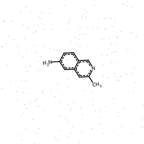 Cc1cc2cc(N)ccc2cn1